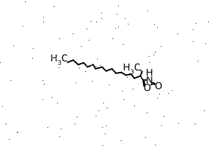 CCCCCCCCCCCCCCCCC(CC)c1coc(=O)[nH]1